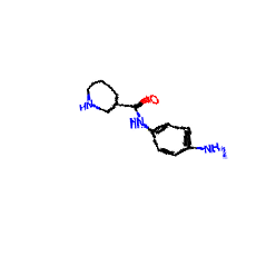 Nc1ccc(NC(=O)C2CCCNC2)cc1